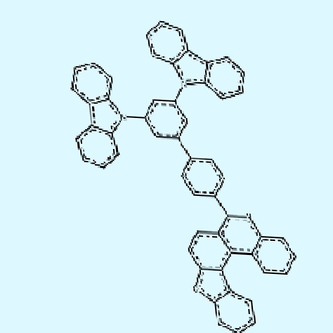 c1ccc2c(c1)nc(-c1ccc(-c3cc(-n4c5ccccc5c5ccccc54)cc(-n4c5ccccc5c5ccccc54)c3)cc1)c1ccc3oc4ccccc4c3c12